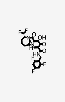 O=C(NCc1c(F)cc(F)cc1F)c1cn2c(c(O)c1=O)C(=O)N1C[C@@H]2CCC[C@@H]1C(F)F